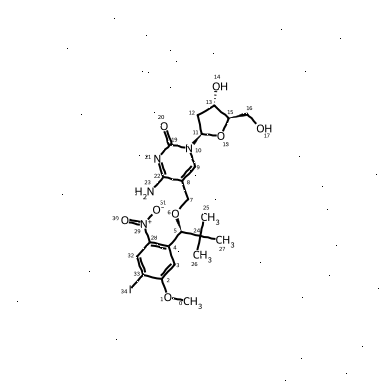 COc1cc([C@@H](OCc2cn([C@H]3C[C@H](O)[C@@H](CO)O3)c(=O)nc2N)C(C)(C)C)c([N+](=O)[O-])cc1I